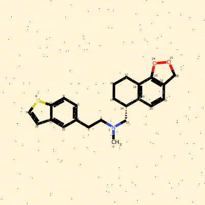 CN(CCc1ccc2sccc2c1)C[C@@H]1CCCc2c1ccc1c2OOC1